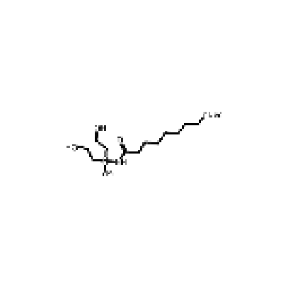 CCCCCCCCCCCCCCCCCC(=O)N[N+](CCC)(CCO)CCO